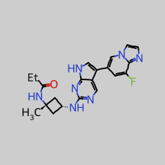 CCC(=O)N[C@]1(C)C[C@H](Nc2ncc3c(-c4cc(F)c5nccn5c4)c[nH]c3n2)C1